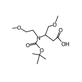 COCCN(C(=O)OC(C)(C)C)C(COC)CC(=O)O